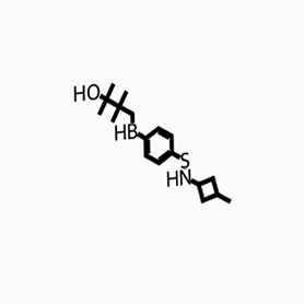 CC1CC(NSc2ccc(BCC(C)(C)C(C)(C)O)cc2)C1